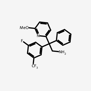 COc1cccc(C(CN)(c2ccccc2)c2cc(F)cc(C(F)(F)F)c2)n1